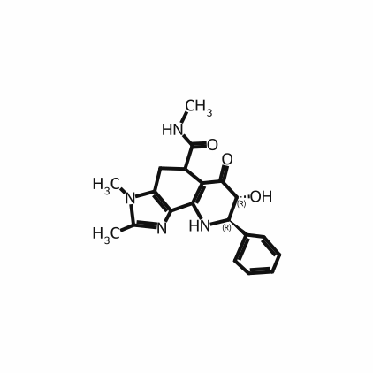 CNC(=O)C1Cc2c(nc(C)n2C)C2=C1C(=O)[C@H](O)[C@@H](c1ccccc1)N2